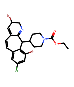 CCOC(=O)N1CCC(C2C3=NCC(Br)C=C3C=Cc3cc(Cl)cc(Br)c32)CC1